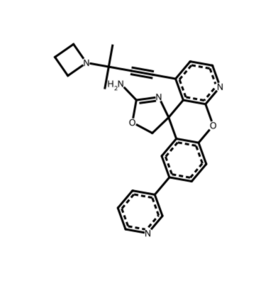 CC(C)(C#Cc1ccnc2c1C1(COC(N)=N1)c1cc(-c3cccnc3)ccc1O2)N1CCC1